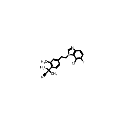 Cc1cc(CCn2cnc3ccc(F)c(Cl)c32)ccc1C(C)(C)C#N